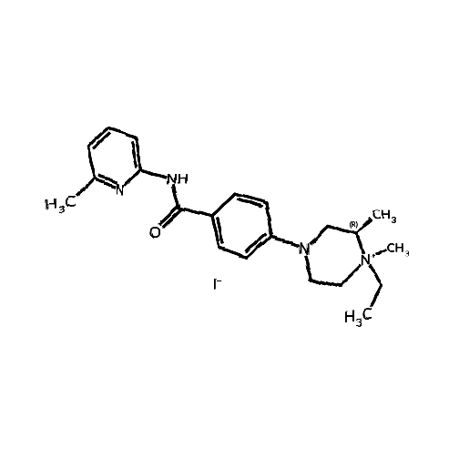 CC[N+]1(C)CCN(c2ccc(C(=O)Nc3cccc(C)n3)cc2)C[C@H]1C.[I-]